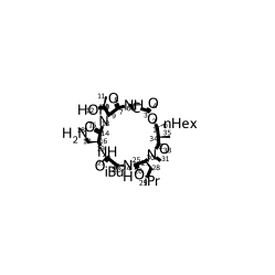 CCCCCC[C@H]1OC(=O)CNC(=O)[C@H]([C@H](C)O)NC(=O)[C@H](CN)NC(=O)[C@H]([C@H](C)CC)NC(=O)[C@H](CC(C)C)N(C)C(=O)[C@@H]1C